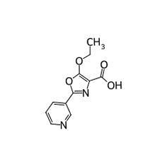 CCOc1oc(-c2cccnc2)nc1C(=O)O